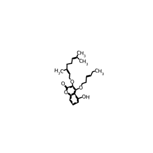 CC/C=C/CCOc1c(OC/C=C(\C)CCC=C(C)C)c(=O)oc2cccc(O)c12